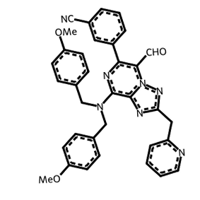 COc1ccc(CN(Cc2ccc(OC)cc2)c2nc(-c3cccc(C#N)c3)c(C=O)n3nc(Cc4ccccn4)nc23)cc1